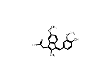 COc1ccc2c(c1)C(CC(=O)O)=C(C)/C2=C/c1ccc(O)c(OC)c1